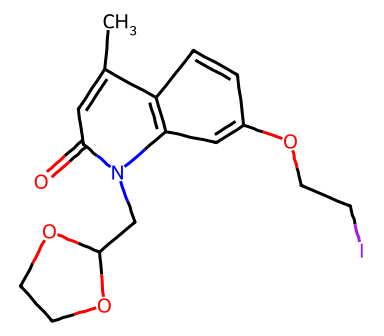 Cc1cc(=O)n(CC2OCCO2)c2cc(OCCI)ccc12